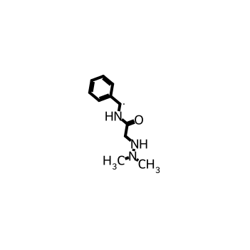 CN(C)NCC(=O)N[CH]c1ccccc1